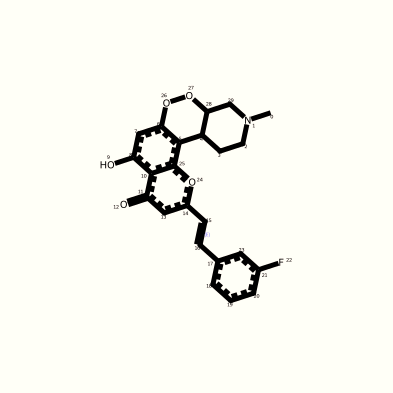 CN1CCC2c3c(cc(O)c4c(=O)cc(/C=C/c5cccc(F)c5)oc34)OOC2C1